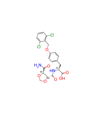 NC(=O)[C@@H]1OCO[C@H]1C(=O)N[C@@H](Cc1ccc(OCc2c(Cl)cccc2Cl)cc1)C(=O)O